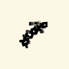 CCOC(=O)C1(c2oc3ccc(Cn4c(CC)nc5c(C)cc(C)nc54)cc3c2Br)CCCC1